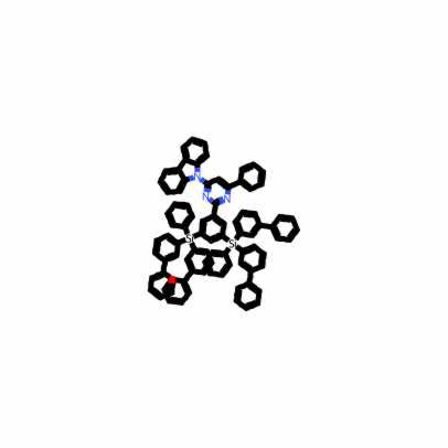 c1ccc(-c2cccc([Si](c3ccccc3)(c3cccc(-c4ccccc4)c3)c3cc(-c4nc(-c5ccccc5)cc(-n5c6ccccc6c6ccccc65)n4)cc([Si](c4ccccc4)(c4cccc(-c5ccccc5)c4)c4cccc(-c5ccccc5)c4)c3)c2)cc1